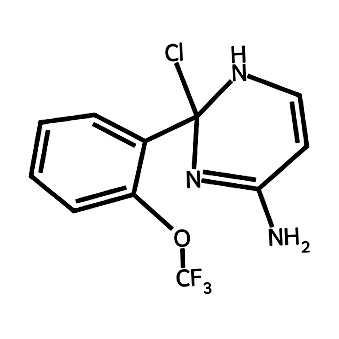 NC1=NC(Cl)(c2ccccc2OC(F)(F)F)NC=C1